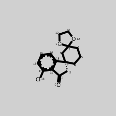 O=C1C[C@]2(CCCC3(C2)OCCO3)c2cccc(Cl)c21